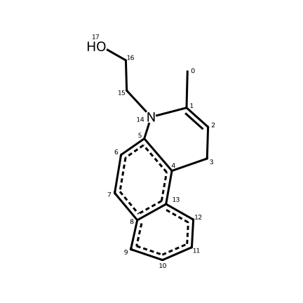 CC1=CCc2c(ccc3ccccc23)N1CCO